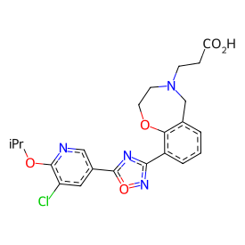 CC(C)Oc1ncc(-c2nc(-c3cccc4c3OCCN(CCC(=O)O)C4)no2)cc1Cl